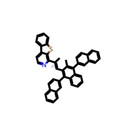 C/C(=C\c1c(C)c(-c2ccc3ccccc3c2)c2ccccc2c1-c1ccc2ccccc2c1)c1nccc2c1sc1ccccc12